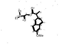 CCN(CC)C(=O)COC(=O)C(C)c1ccc2cc(OC)ccc2c1